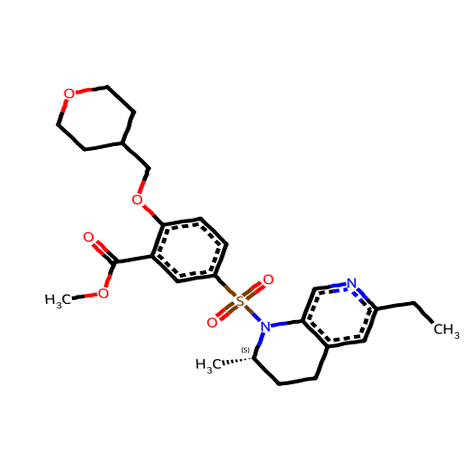 CCc1cc2c(cn1)N(S(=O)(=O)c1ccc(OCC3CCOCC3)c(C(=O)OC)c1)[C@@H](C)CC2